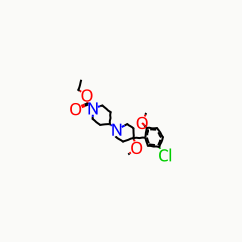 CCOC(=O)N1CCC(N2CCC(OC)(c3cc(Cl)ccc3OC)CC2)CC1